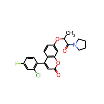 CC(Oc1ccc2c(-c3ccc(F)cc3Cl)cc(=O)oc2c1)C(=O)N1CCCC1